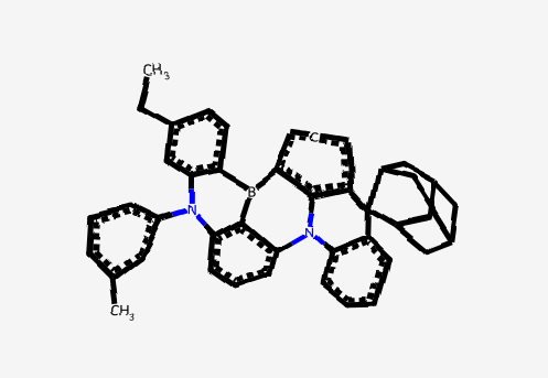 CCc1ccc2c(c1)N(c1cccc(C)c1)c1cccc3c1B2c1cccc2c1N3c1ccccc1C21C2CC3CC(C2)CC1C3